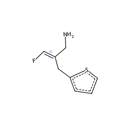 NC/C(=C/F)Cc1cccs1